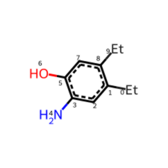 CCc1cc(N)c(O)cc1CC